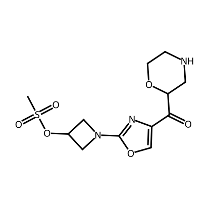 CS(=O)(=O)OC1CN(c2nc(C(=O)C3CNCCO3)co2)C1